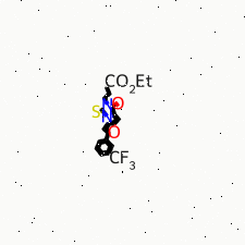 CCOC(=O)CCCN1C(=O)c2cc3oc(-c4cccc(C(F)(F)F)c4)cc3n2C1=S